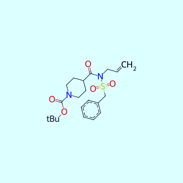 C=CCN(C(=O)C1CCN(C(=O)OC(C)(C)C)CC1)S(=O)(=O)Cc1ccccc1